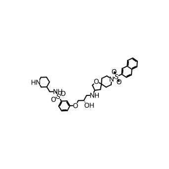 O=S(=O)(NCC1CCCNC1)c1cccc(OC[C@@H](O)CNC2COC3(CCN(S(=O)(=O)c4ccc5ccccc5c4)CC3)C2)c1